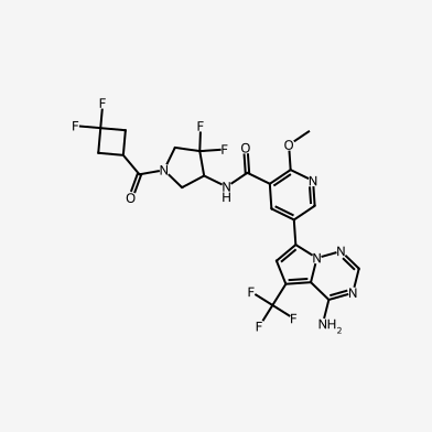 COc1ncc(-c2cc(C(F)(F)F)c3c(N)ncnn23)cc1C(=O)NC1CN(C(=O)C2CC(F)(F)C2)CC1(F)F